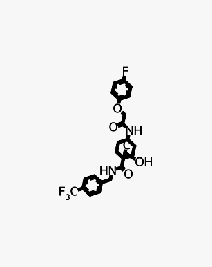 O=C(COc1ccc(F)cc1)NC12CCC(C(=O)NCc3ccc(C(F)(F)F)cc3)(CC1)C(O)C2